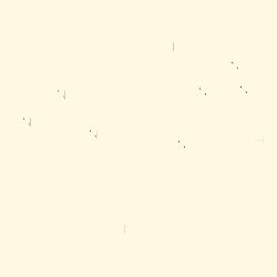 Cc1nnc2n1-c1ccc(-c3cnc(N)cn3)cc1N(c1ccc(Cl)cc1)C[C@H]2C